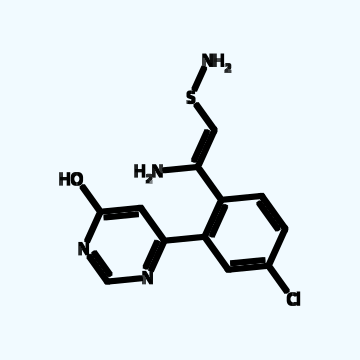 NS/C=C(\N)c1ccc(Cl)cc1-c1cc(O)ncn1